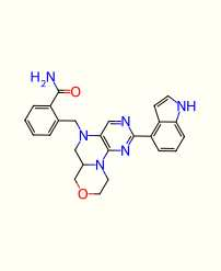 NC(=O)c1ccccc1CN1CC2COCCN2c2nc(-c3cccc4[nH]ccc34)ncc21